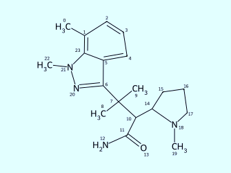 Cc1cccc2c(C(C)(C)C(C(N)=O)C3CCCN3C)nn(C)c12